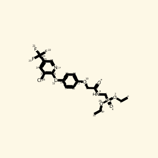 CCOP(=O)(CNC(=O)COc1ccc(Oc2ncc(C(F)(F)F)cc2Cl)cc1)OCC